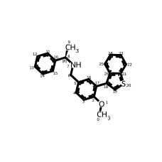 COc1ccc(CN[C@H](C)c2ccccc2)cc1-c1csc2ccccc12